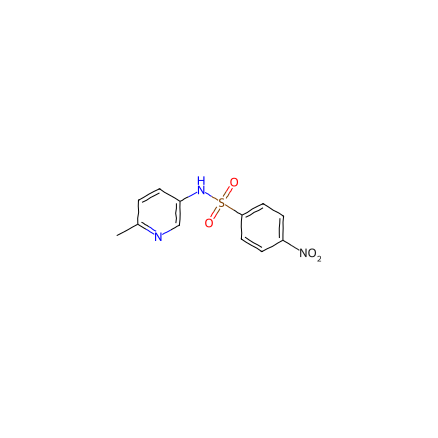 Cc1ccc(NS(=O)(=O)c2ccc([N+](=O)[O-])cc2)cn1